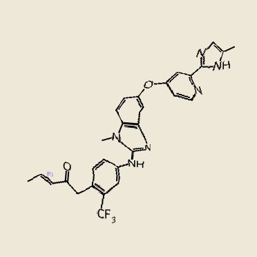 C/C=C/C(=O)Cc1ccc(Nc2nc3cc(Oc4ccnc(-c5ncc(C)[nH]5)c4)ccc3n2C)cc1C(F)(F)F